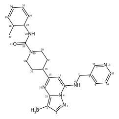 Bc1cnn2c(NCc3cccnc3)cc(C3CCN(C(=O)NC4C=CC=CC4C)CC3)nc12